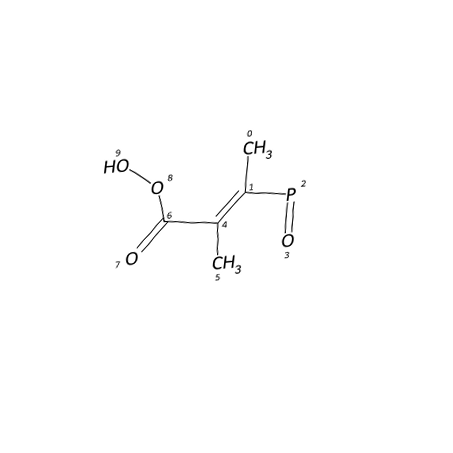 CC(P=O)=C(C)C(=O)OO